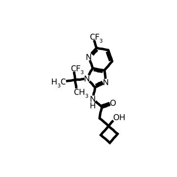 CC(C)(n1c(NC(=O)CC2(O)CCC2)nc2ccc(C(F)(F)F)nc21)C(F)(F)F